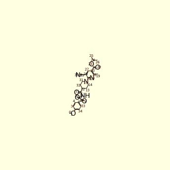 COc1ccc(S(=O)(=O)NC(=O)C2CCN(c3nc(C)c(C(=O)OC(C)C)cc3C#N)CC2)cc1